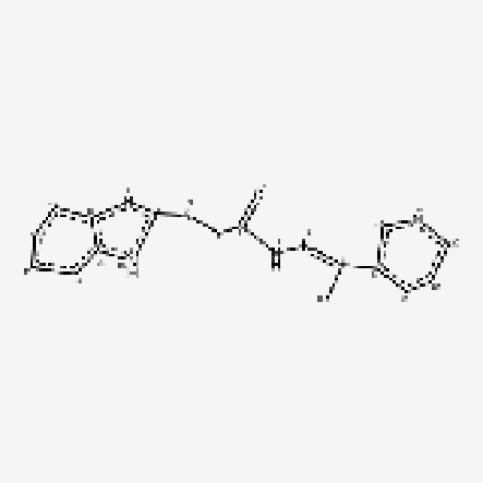 C/C(=N\NC(=O)CSc1nc2ccccc2[nH]1)c1cccnc1